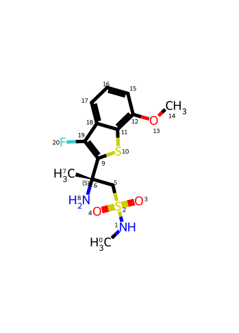 CNS(=O)(=O)C[C@](C)(N)c1sc2c(OC)cccc2c1F